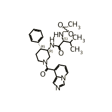 CC(C)[C@H](NS(C)(=O)=O)C(=O)N[C@H]1CN(C(=O)c2cccn3cncc23)CC[C@@H]1c1ccccc1